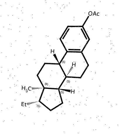 CC[C@H]1CC[C@H]2[C@@H]3CCc4cc(OC(C)=O)ccc4[C@H]3CC[C@]12C